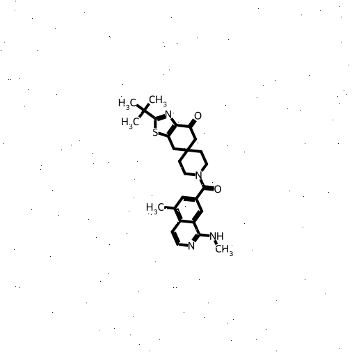 CNc1nccc2c(C)cc(C(=O)N3CCC4(CC3)CC(=O)c3nc(C(C)(C)C)sc3C4)cc12